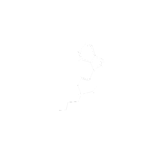 CCOC(=O)CCCN1CC=C(c2c[nH]c3ccccc23)CC1